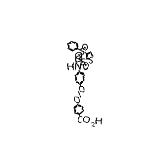 O=C(O)c1ccc(OCCOc2ccc(NS(=O)(=O)c3sccc3S(=O)(=O)c3ccccc3)cc2)cc1